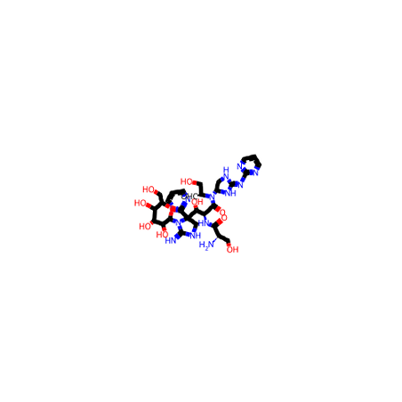 N=C1NCC(c2ncccn2)(C(O)[C@H](NC(=O)[C@@H](N)CO)C(=O)N(C2CNC(=Nc3ncccn3)N2)[C@H]([C]=O)CO)N1C1OC(CO)C(O)C(O)C1O